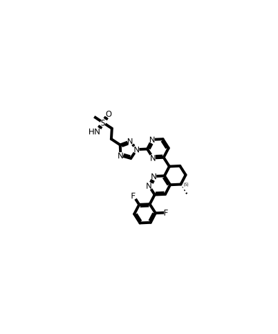 C[C@H]1CCC(c2ccnc(-n3cnc(CCS(C)(=N)=O)n3)n2)c2nnc(-c3c(F)cccc3F)cc21